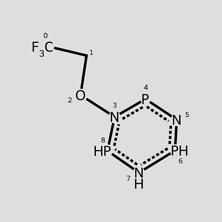 FC(F)(F)COn1pn[pH][nH][pH]1